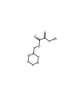 C=C(CC(C)C)C(=O)OCC1CCCCO1